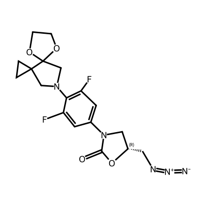 [N-]=[N+]=NC[C@H]1CN(c2cc(F)c(N3CC4(CC4)C4(C3)OCCO4)c(F)c2)C(=O)O1